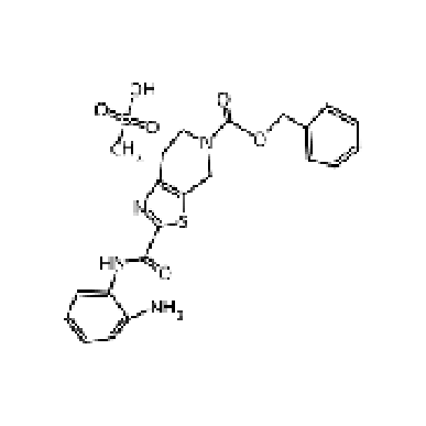 CS(=O)(=O)O.Nc1ccccc1NC(=O)c1nc2c(s1)CN(C(=O)OCc1ccccc1)CC2